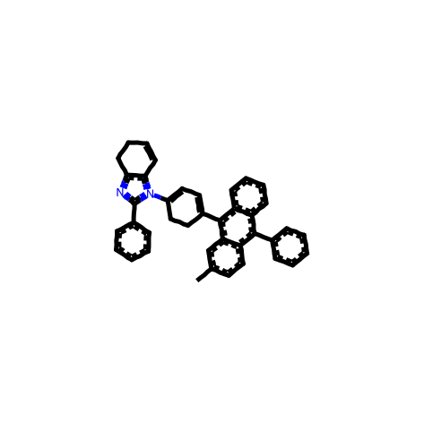 Cc1ccc2c(-c3ccccc3)c3ccccc3c(C3=CC=C(n4c(-c5ccccc5)nc5c4C=CCC5)CC3)c2c1